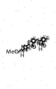 COCCNc1ncc2c(n1)CN(C(=O)c1cc(Cc3n[nH]c(=O)c4cc(F)ccc34)ccc1F)C2